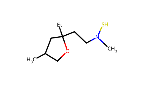 CCC1(CCN(C)S)CC(C)CO1